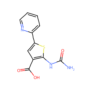 NC(=O)Nc1sc(-c2ccccn2)cc1C(=O)O